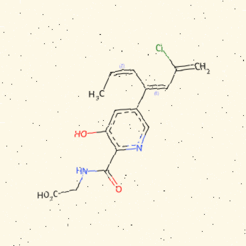 C=C(Cl)/C=C(\C=C/C)c1cnc(C(=O)NCC(=O)O)c(O)c1